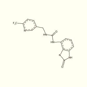 O=C1[N]c2c(cccc2NC(=O)NCc2ccc(C(F)(F)F)nc2)N1